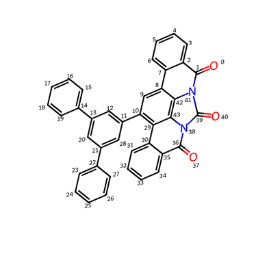 O=c1c2ccccc2c2cc(-c3cc(-c4ccccc4)cc(-c4ccccc4)c3)c3c4ccccc4c(=O)n4c(=O)n1c2c34